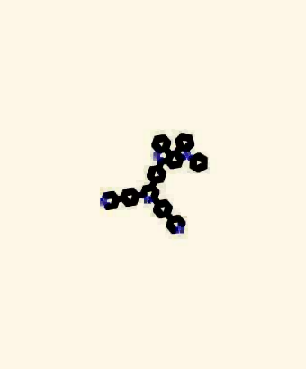 c1ccc(-n2c3ccccc3c3c4c(ccc32)c(-c2ccc(-c3cc(-c5ccc(-c6ccncc6)cc5)nc(-c5ccc(-c6ccncc6)cc5)c3)cc2)nc2ccccc24)cc1